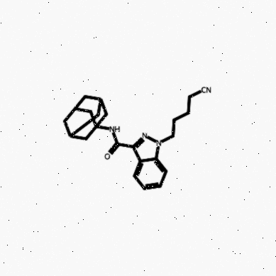 N#CCCCCn1nc(C(=O)NC23CC4CC(CC(C4)C2)C3)c2ccccc21